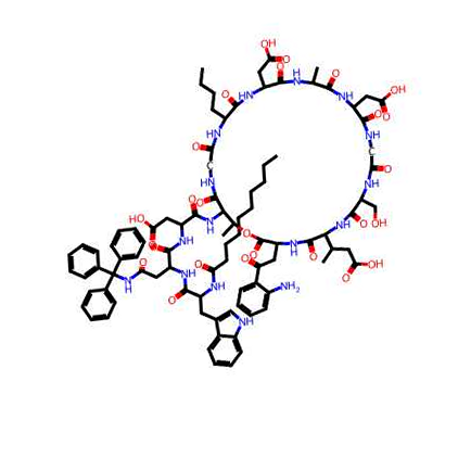 CCCCCCCCCC(=O)NC(Cc1c[nH]c2ccccc12)C(=O)NC(CC(=O)NC(c1ccccc1)(c1ccccc1)c1ccccc1)C(=O)NC(CC(=O)O)C(=O)NC1C(=O)NCC(=O)NC(CCCC)C(=O)NC(CC(=O)O)C(=O)NC(C)C(=O)NC(CC(=O)O)C(=O)NCC(=O)NC(CO)C(=O)NC(C(C)CC(=O)O)C(=O)NC(CC(=O)c2ccccc2N)C(=O)OC1C